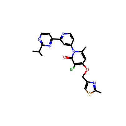 Cc1nc(COc2cc(C)n(-c3ccnc(-c4ccnc(C(C)C)n4)c3)c(=O)c2Br)cs1